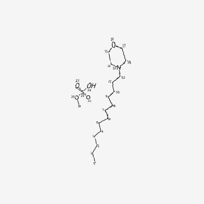 CCCCCCCCCCCCCN1CCOCC1.COS(=O)(=O)O